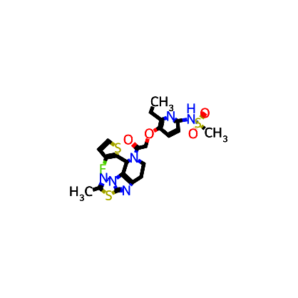 CCc1nc(NS(C)(=O)=O)ccc1OCC(=O)N1CCc2nc3sc(C)nn3c2C1c1sccc1F